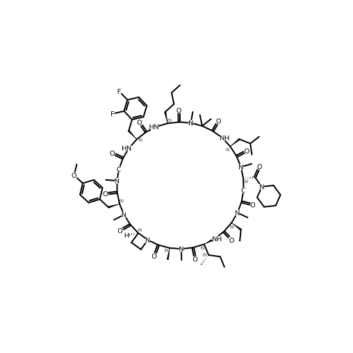 CCCC[C@@H]1NC(=O)[C@H](Cc2cccc(F)c2F)NC(=O)CN(C)C(=O)[C@H](Cc2ccc(OC)cc2)N(C)C(=O)[C@@H]2CCN2C(=O)[C@H](C)N(C)C(=O)[C@H]([C@@H](C)CC)NC(=O)[C@H](CC)N(C)C(=O)C[C@@H](C(=O)N2CCCCC2)N(C)C(=O)[C@H](CC(C)C)NC(=O)C(C)(C)N(C)C1=O